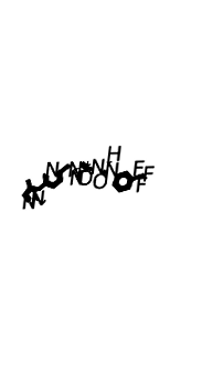 Cc1cnn(C)c1-c1ccc(C[n+]2cc([N-]C(=O)Nc3cccc(C(F)(F)F)c3)on2)nc1